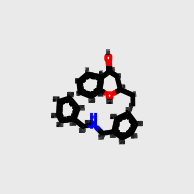 CCC1CC(=O)c2ccccc2O1.c1ccc(CNCc2ccccc2)cc1